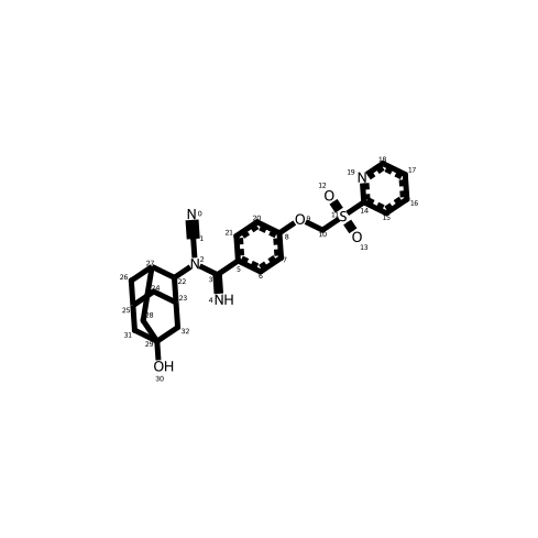 N#CN(C(=N)c1ccc(OCS(=O)(=O)c2ccccn2)cc1)C1C2CC3CC1CC(O)(C3)C2